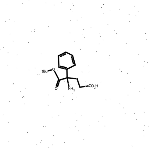 CC(C)(C)OC(=O)C(N)(CCC(=O)O)c1ccccc1